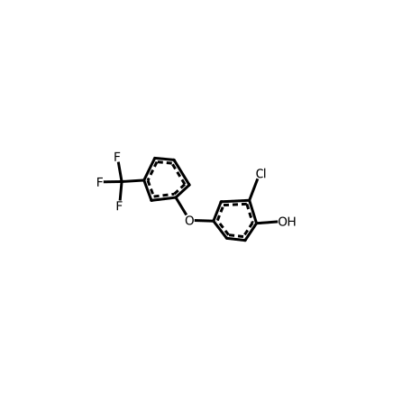 Oc1ccc(Oc2cccc(C(F)(F)F)c2)cc1Cl